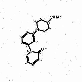 CC(=O)NC1CCN(c2[c]ccc(-n3ccccc3=O)c2)CC1